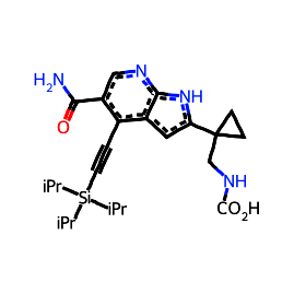 CC(C)[Si](C#Cc1c(C(N)=O)cnc2[nH]c(C3(CNC(=O)O)CC3)cc12)(C(C)C)C(C)C